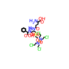 N[C@@H](CCC(=O)NC(CS(=O)(=O)CCOP(=O)(N(CCCl)CCCl)N(CCCl)CCCl)C(=O)N[C@@H](C(=O)O)c1ccccc1)C(=O)O